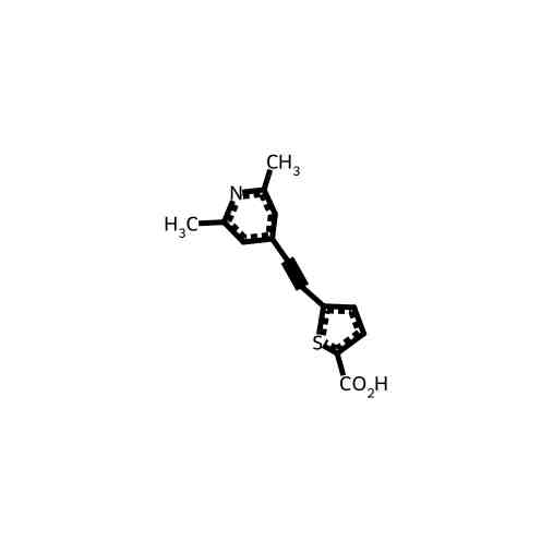 Cc1cc(C#Cc2ccc(C(=O)O)s2)cc(C)n1